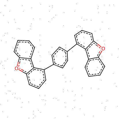 c1ccc2c(c1)oc1cccc(-c3ccc(-c4cccc5oc6ccccc6c45)cc3)c12